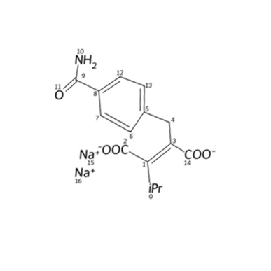 CC(C)C(C(=O)[O-])=C(Cc1ccc(C(N)=O)cc1)C(=O)[O-].[Na+].[Na+]